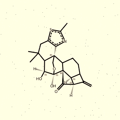 C=C1C2CCC3[C@@]45CO[C@](O)([C@@H](O)C4C(C)(C)Cc4sc(C)nc45)[C@]34C(=O)[C@H]1[C@H]24